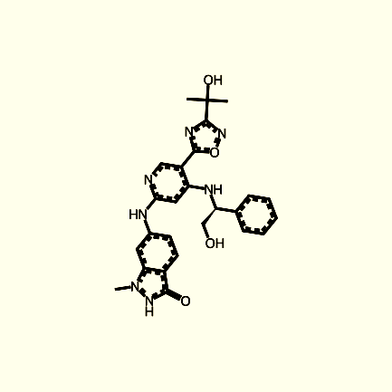 Cn1[nH]c(=O)c2ccc(Nc3cc(N[C@H](CO)c4ccccc4)c(-c4nc(C(C)(C)O)no4)cn3)cc21